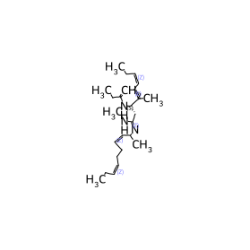 C=C(CC)N[C@@H](C/C(=N/C(C)/C=C\CC/C=C\CC)NC)/C(C)=C/C=C\CC